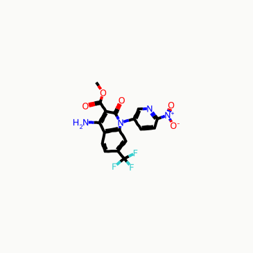 COC(=O)c1c(N)c2ccc(C(F)(F)F)cc2n(-c2ccc([N+](=O)[O-])nc2)c1=O